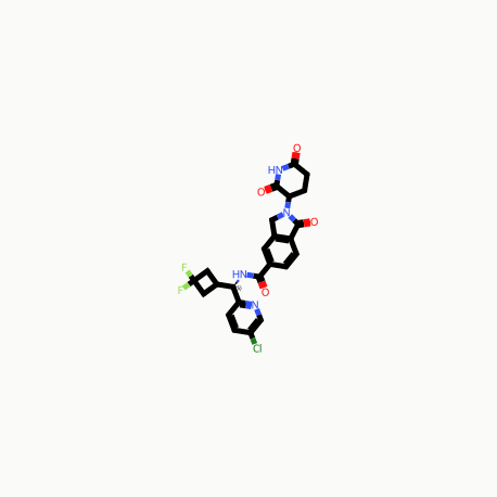 O=C1CCC(N2Cc3cc(C(=O)N[C@H](c4ccc(Cl)cn4)C4CC(F)(F)C4)ccc3C2=O)C(=O)N1